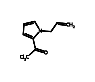 C=CCn1cccc1C(=O)C(Cl)(Cl)Cl